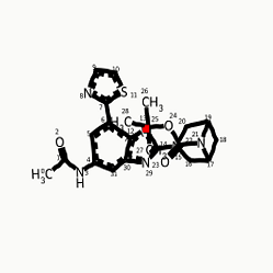 CC(=O)Nc1cc(-c2nccs2)c2oc(N3CC4CC(C3)N4C(=O)OC(C)(C)C)nc2c1